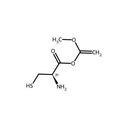 C=C(OC)OC(=O)[C@@H](N)CS